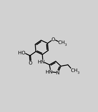 CCc1cc(Nc2cc(OC)ccc2C(=O)O)[nH]n1